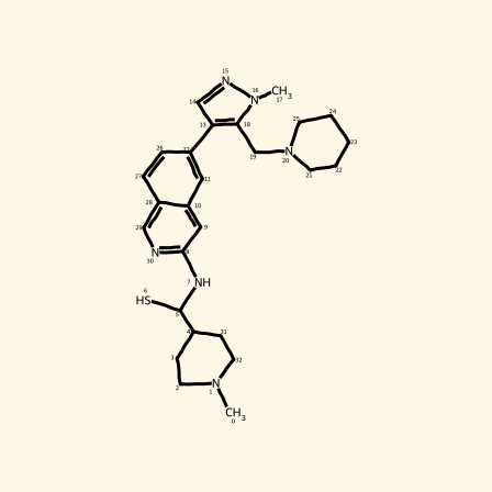 CN1CCC(C(S)Nc2cc3cc(-c4cnn(C)c4CN4CCCCC4)ccc3cn2)CC1